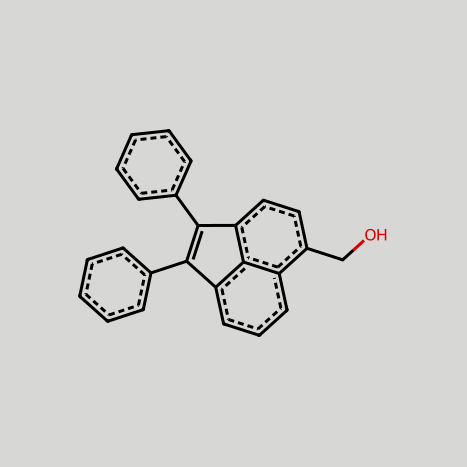 OCc1ccc2c3c(cccc13)C(c1ccccc1)=C2c1ccccc1